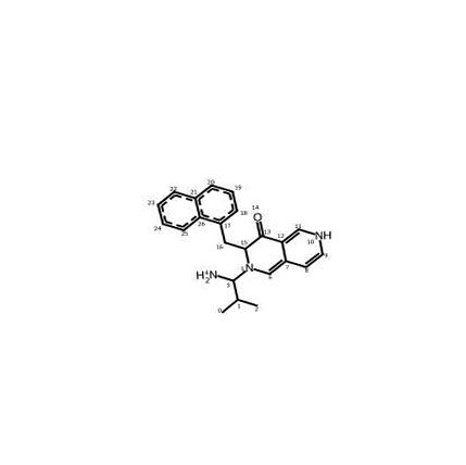 CC(C)C(N)N1C=C2C=CNC=C2C(=O)C1Cc1cccc2ccccc12